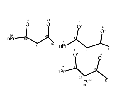 CCCC([O-])CC(C)[O-].CCCC([O-])CC(C)[O-].CCCC([O-])CC(C)[O-].[Fe+6]